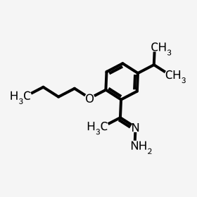 CCCCOc1ccc(C(C)C)cc1C(C)=NN